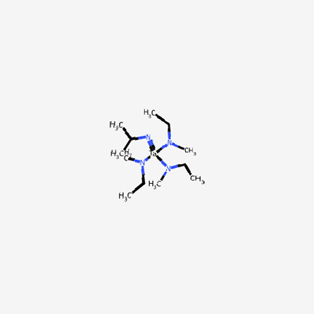 CC[N](C)[Ta](=[N]C(C)C)([N](C)CC)[N](C)CC